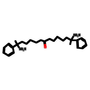 CC(CCCCCC(=O)CCCCCC(C)(c1ccccc1)S(=O)(=O)O)(c1ccccc1)S(=O)(=O)O